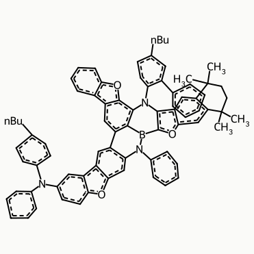 CCCCc1ccc(N(c2ccccc2)c2ccc3oc4cc5c(cc4c3c2)-c2cc3c(oc4ccccc43)c3c2B(c2oc4cc6c(cc4c2N3c2ccc(CCCC)cc2-c2ccccc2)C(C)(C)CCC6(C)C)N5c2ccccc2)cc1